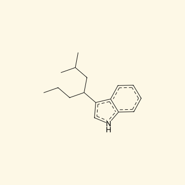 CCCC(CC(C)C)c1c[nH]c2ccccc12